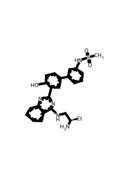 CC[C@@H](N)CNc1nc(-c2cc(-c3cccc(NS(C)(=O)=O)c3)ccc2O)nc2ccccc12